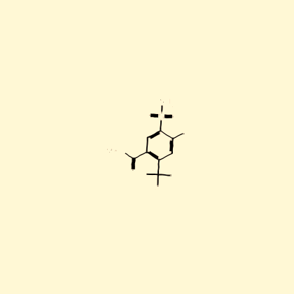 COC(=O)c1cc(S(N)(=O)=O)c(F)cc1C(F)(F)C(F)(F)F